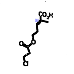 C/C(=C\CCOC(=O)CCCl)C(=O)O